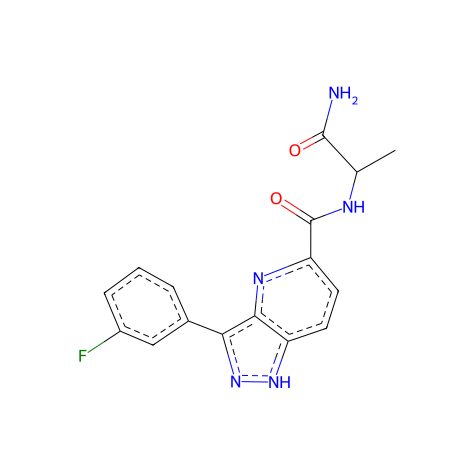 CC(NC(=O)c1ccc2[nH]nc(-c3cccc(F)c3)c2n1)C(N)=O